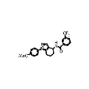 COc1ccc(-n2ncc3c2CCCC3NC(=O)c2cccc(C(F)(F)F)c2)cc1